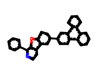 c1ccc(-c2nccc3c2oc2ccc(-c4ccc5c6ccccc6c6ccccc6c5c4)cc23)cc1